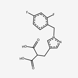 O=C(O)C(Cc1cnn(Cc2ccc(F)cc2F)c1)C(=O)O